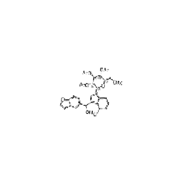 CC(=O)OC[C@H]1O[C@@H](n2cc(C(O)c3ccc4occc4c3)c3c(Cl)cccc32)[C@H](OC(C)=O)[C@@H](OC(C)=O)[C@@H]1OC(C)=O